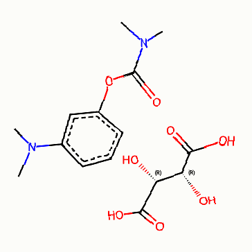 CN(C)C(=O)Oc1cccc(N(C)C)c1.O=C(O)[C@H](O)[C@@H](O)C(=O)O